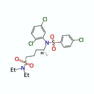 CCN(CC)S(=O)(=O)CCC[C@@H](C)N(c1cc(Cl)ccc1Cl)S(=O)(=O)c1ccc(Cl)cc1